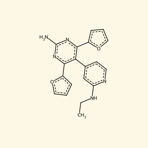 CCNc1cc(-c2c(-c3ccco3)nc(N)nc2-c2ccco2)ccn1